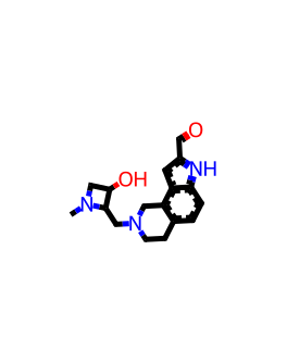 CN1CC(O)C1CN1CCc2ccc3[nH]c(C=O)cc3c2C1